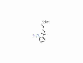 CCCCCCCCCCCCCC(C)(C)c1ccccc1N